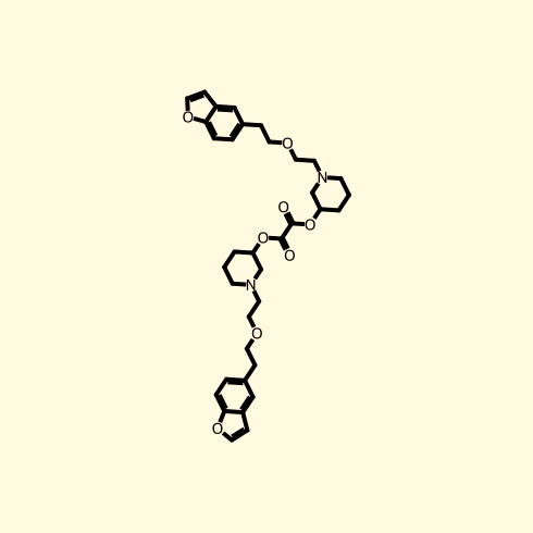 O=C(OC1CCCN(CCOCCc2ccc3occc3c2)C1)C(=O)OC1CCCN(CCOCCc2ccc3occc3c2)C1